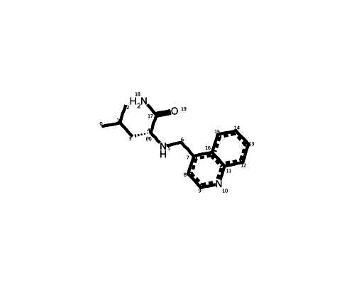 CC(C)C[C@@H](NCc1ccnc2ccccc12)C(N)=O